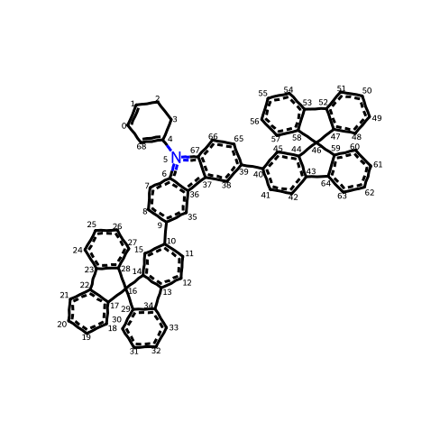 C1=CCCC(n2c3ccc(-c4ccc5c(c4)C4(c6ccccc6-c6ccccc64)c4ccccc4-5)cc3c3cc(-c4ccc5c(c4)C4(c6ccccc6-c6ccccc64)c4ccccc4-5)ccc32)=C1